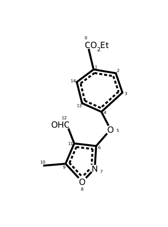 CCOC(=O)c1ccc(Oc2noc(C)c2C=O)cc1